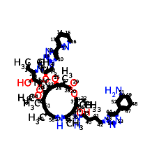 CCC(C(O)[C@@H](OCCn1cc(-c2ccccn2)nn1)O[C@@H]1[C@@H](C)C(=O)[C@@H](C)C(=O)O[C@H](CC)[C@@](C)(O)[C@H](NCCCCn2cc(-c3cccc(N)c3)nn2)[C@@H](C)NC[C@H](C)C[C@@]1(C)OC)N(C)C